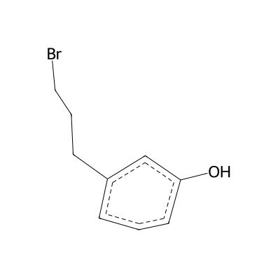 Oc1cccc(CCCBr)c1